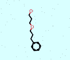 [O]CCCOCCCc1ccccc1